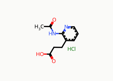 CC(=O)Nc1ncccc1CCC(=O)O.Cl